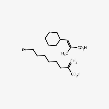 C=C(CCCCCCC(C)C)C(=O)O.CC(=CC1CCCCC1)C(=O)O